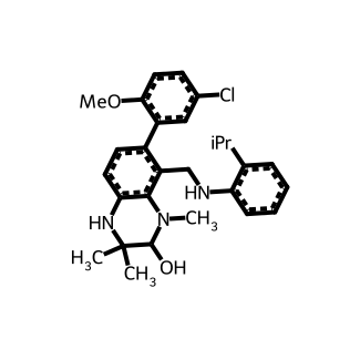 COc1ccc(Cl)cc1-c1ccc2c(c1CNc1ccccc1C(C)C)N(C)C(O)C(C)(C)N2